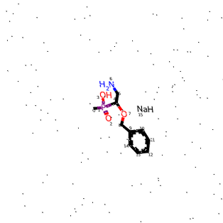 CP(=O)(O)C(CN)OCc1ccccc1.[NaH]